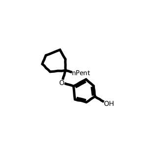 CCCCCC1(Oc2ccc(O)cc2)CCCCC1